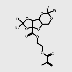 C=C(C)C(=O)OCCOC(=O)C12OC3COC(CC)(CC)OC3C1OC(CC)(CC)O2